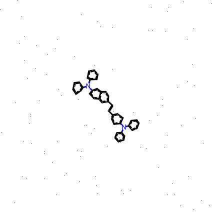 C(=Cc1ccc2cc(N(c3ccccc3)c3ccccc3)ccc2c1)c1ccc(N(c2ccccc2)c2ccccc2)cc1